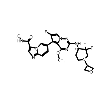 CNC(=O)c1cnc2ccc(-c3c(F)cn4nc(N[C@@H]5CCN(C6COC6)CC5(F)F)nc(OC)c34)cn12